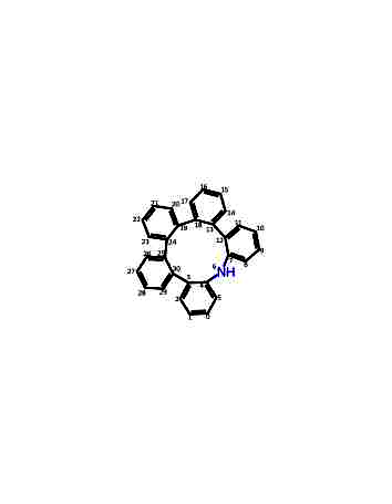 c1ccc2c(c1)Nc1ccccc1-c1ccccc1-c1ccccc1-c1ccccc1-2